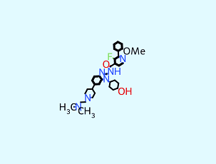 COc1ccccc1-c1nccc(C(=O)Nc2nc3ccc(C4CCN(CCN(C)C)CC4)cc3n2[C@H]2CC[C@@H](O)CC2)c1F